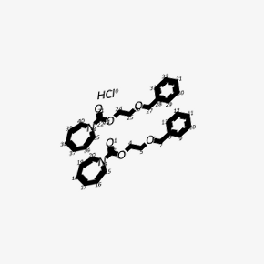 Cl.O=C(OCCOCc1ccccc1)N1C=CC=CC=C1.O=C(OCCOCc1ccccc1)N1C=CC=CC=C1